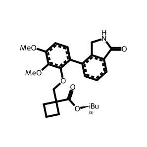 CC[C@H](C)OC(=O)C1(COc2c(-c3cccc4c3CNC4=O)ccc(OC)c2OC)CCC1